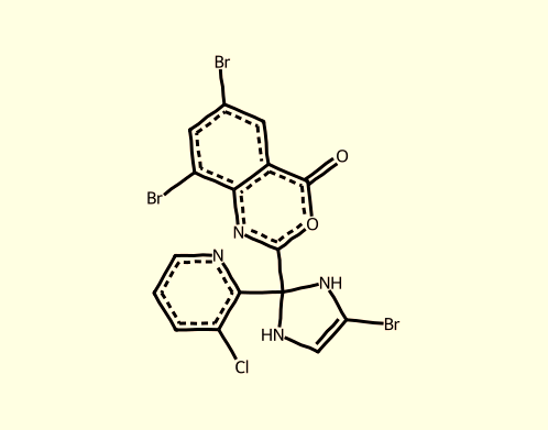 O=c1oc(C2(c3ncccc3Cl)NC=C(Br)N2)nc2c(Br)cc(Br)cc12